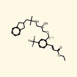 CCOC(=O)/C=C/c1ccc(C(F)(F)F)cc1[C@@H](C)OC[C@H](O)CNC(C)(C)CC1Cc2ccccc2C1